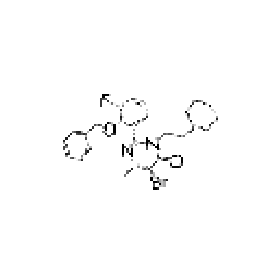 Cc1nc(-c2cccc(F)c2OCc2ccccc2)n(CCC2CCCCC2)c(=O)c1Br